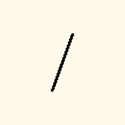 CCCCCCCCCCCCCCC=CC=CCCCCCCCCCCCCCCCCCCCC